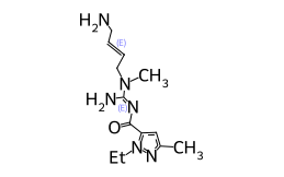 CCn1nc(C)cc1C(=O)/N=C(\N)N(C)C/C=C/CN